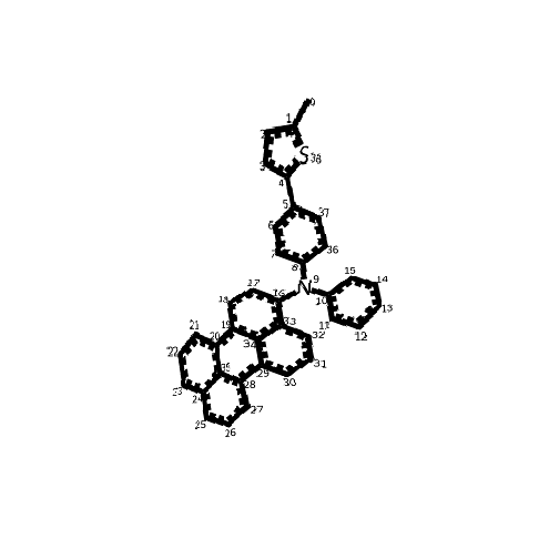 Cc1ccc(-c2ccc(N(c3ccccc3)c3ccc4c5cccc6cccc(c7cccc3c74)c65)cc2)s1